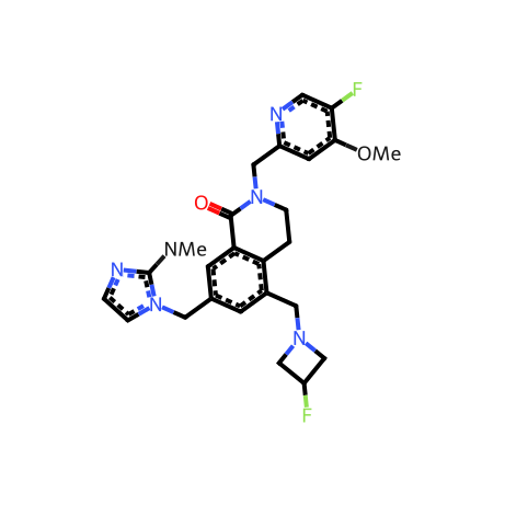 CNc1nccn1Cc1cc(CN2CC(F)C2)c2c(c1)C(=O)N(Cc1cc(OC)c(F)cn1)CC2